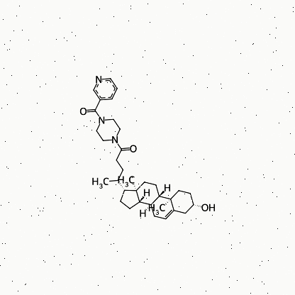 CC(CCC(=O)N1CCN(C(=O)c2cccnc2)CC1)[C@H]1CC[C@H]2[C@@H]3CC=C4C[C@@H](O)CC[C@]4(C)[C@H]3CC[C@]12C